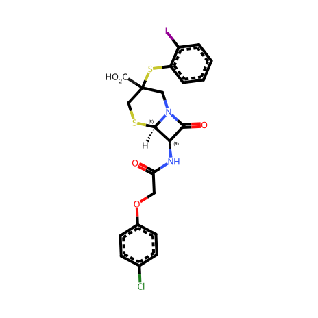 O=C(COc1ccc(Cl)cc1)N[C@@H]1C(=O)N2CC(Sc3ccccc3I)(C(=O)O)CS[C@H]12